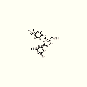 COc1ccc(CN2C[C@@H](c3cc(Cl)nc(Br)c3)OC[C@@H]2CO)cc1